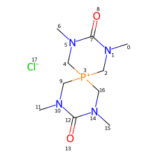 CN1C[P+]2(CN(C)C1=O)CN(C)C(=O)N(C)C2.[Cl-]